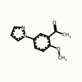 COc1ccc(-n2cccn2)cc1C(C)=O